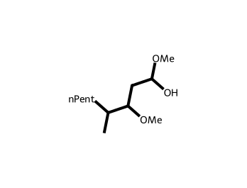 CCCCCC(C)C(CC(O)OC)OC